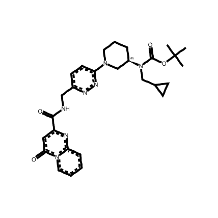 CC(C)(C)OC(=O)N(CC1CC1)[C@@H]1CCCN(c2ccc(CNC(=O)c3cc(=O)n4ccccc4n3)nn2)C1